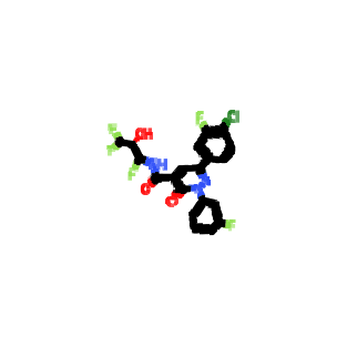 O=C(NC(F)[C@@H](O)C(F)F)c1cc(-c2ccc(Cl)c(F)c2)nn(-c2cccc(F)c2)c1=O